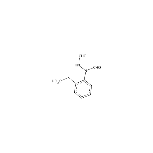 O=CNN(C=O)c1ccccc1CC(=O)O